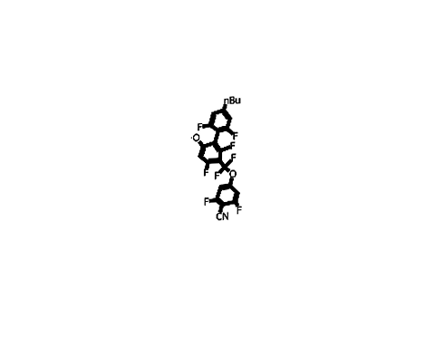 CCCCc1cc(F)c(-c2c([O])cc(F)c(C(F)(F)Oc3cc(F)c(C#N)c(F)c3)c2F)c(F)c1